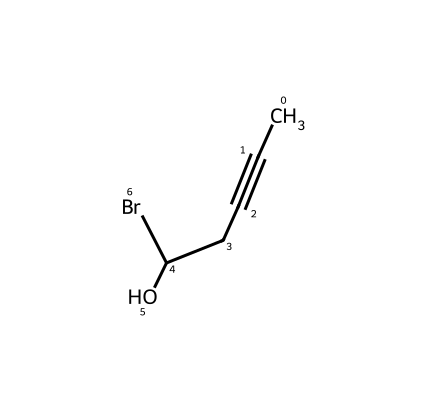 CC#CCC(O)Br